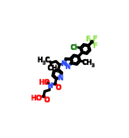 Cc1cc2nn(C(CC(C)C)c3ccc(C(=O)N(O)CCC(=O)O)nc3)cc2cc1-c1ccc(C(F)(F)F)cc1Cl